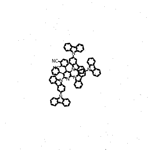 N#Cc1cccc(-c2c(-c3ccccc3)c(-n3c4ccccc4c4cc(-n5c6ccccc6c6ccccc65)ccc43)nc(-n3c4ccccc4c4cc(-n5c6ccccc6c6ccccc65)ccc43)c2-n2c3ccccc3c3cc(-n4c5ccccc5c5ccccc54)ccc32)c1C#N